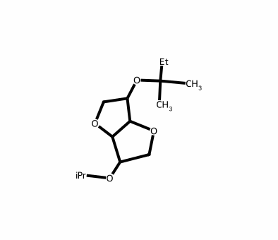 CCC(C)(C)OC1COC2C(OC(C)C)COC12